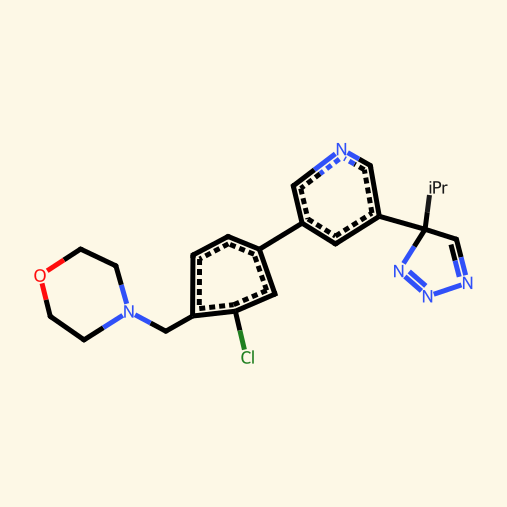 CC(C)C1(c2cncc(-c3ccc(CN4CCOCC4)c(Cl)c3)c2)C=NN=N1